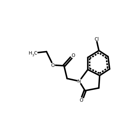 CCOC(=O)CN1C(=O)Cc2ccc(Cl)cc21